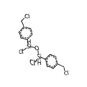 ClCc1ccc([SiH](Cl)O[SiH](Cl)c2ccc(CCl)cc2)cc1